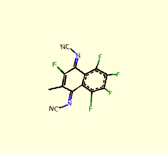 CC1=C(F)C(=N\C#N)/c2c(F)c(F)c(F)c(F)c2/C1=N/C#N